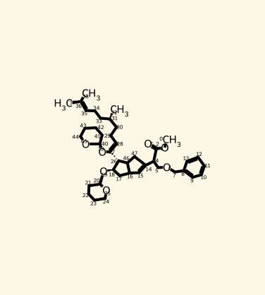 COC(=O)C(COCc1ccccc1)C1=CC2C[C@@H](OC3CCCCO3)[C@H](C(=CCC[C@H](C)CCC=C(C)C)OC3CCCCO3)C2C1